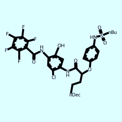 CCCCCCCCCCCCC(Oc1ccc(NS(=O)(=O)CCCC)cc1)C(=O)Nc1cc(O)c(NC(=O)c2c(F)c(F)c(F)c(F)c2F)cc1Cl